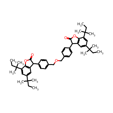 CCC(C)(C)c1cc2c(c(C(C)(C)CC)c1)OC(=O)C2c1ccc(COCc2ccc(C3C(=O)Oc4c3cc(C(C)(C)CC)cc4C(C)(C)CC)cc2)cc1